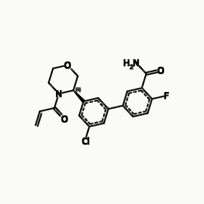 C=CC(=O)N1CCOC[C@H]1c1cc(Cl)cc(-c2ccc(F)c(C(N)=O)c2)c1